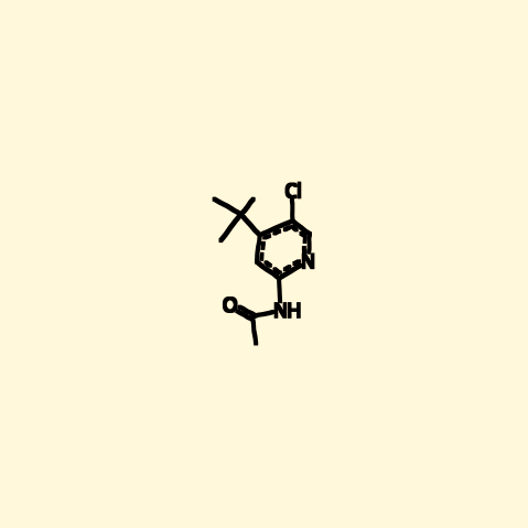 CC(=O)Nc1cc(C(C)(C)C)c(Cl)cn1